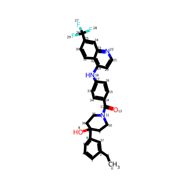 CCc1cccc(C2(O)CCN(C(=O)c3ccc(Nc4ccnc5cc(C(F)(F)F)ccc45)cc3)CC2)c1